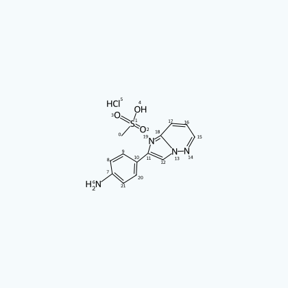 CS(=O)(=O)O.Cl.Nc1ccc(-c2cn3ncccc3n2)cc1